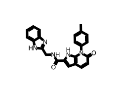 Cc1ccc(-n2c(=O)ccc3cc(C(=O)NCc4nc5ccccc5[nH]4)[nH]c32)cc1